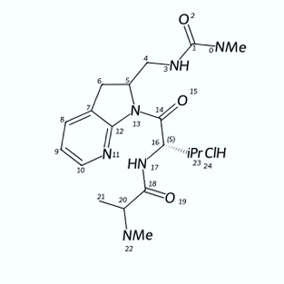 CNC(=O)NCC1Cc2cccnc2N1C(=O)[C@@H](NC(=O)C(C)NC)C(C)C.Cl